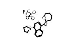 O=S(=O)([O-])C(F)(F)F.c1ccc2c([S+]3CCCC3)ccc(OC3CCCCO3)c2c1